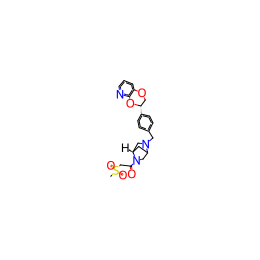 CS(=O)(=O)CC(=O)N1CC2C[C@H]1CN2Cc1ccc([C@H]2COc3cccnc3O2)cc1